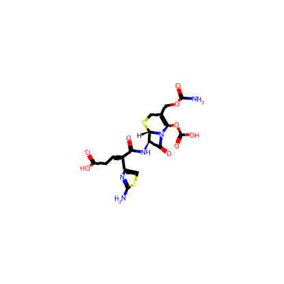 NC(=O)OCC1=C(OC(=O)O)N2C(=O)[C@@H](NC(=O)C(=CCC(=O)O)c3csc(N)n3)[C@@H]2SC1